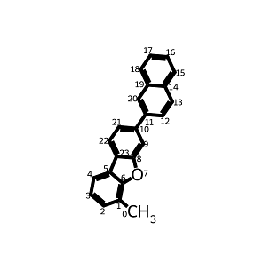 Cc1cccc2c1oc1cc(-c3ccc4ccccc4c3)ccc12